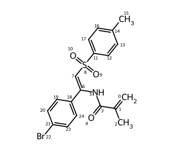 C=C(C)C(=O)N/C(=C\S(=O)(=O)c1ccc(C)cc1)c1ccc(Br)cc1